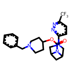 O=C(OC1CCN(Cc2ccccc2)CC1)N1C2CC1CN(c1ccc(C(F)(F)F)nn1)C2